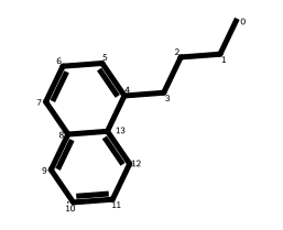 CCCCc1cccc2c[c]ccc12